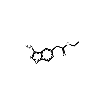 CCOC(=O)Cc1ccc2onc(N)c2c1